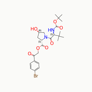 CC(C)(C)OC(=O)N[C@H](C(=O)N1C[C@H](O)C[C@H]1C(=O)OCC(=O)c1ccc(Br)cc1)C(C)(C)C